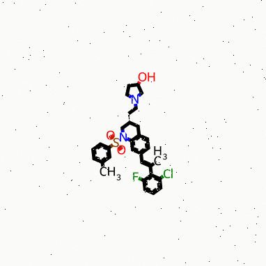 C/C(=C\c1ccc2c(c1)N(S(=O)(=O)c1cccc(C)c1)C[C@H](CCN1CCC(O)C1)C2)c1c(F)cccc1Cl